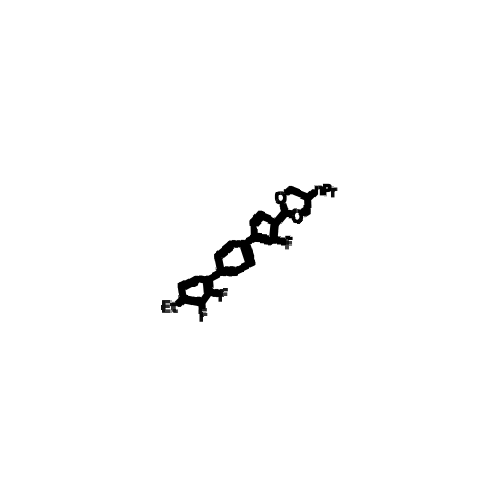 CCCC1COC(c2ccc(-c3ccc(-c4ccc(CC)c(F)c4F)cc3)cc2F)OC1